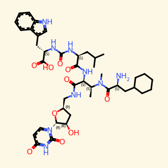 CC(C)C[C@H](NC(=O)N[C@@H](Cc1c[nH]c2ccccc12)C(=O)O)C(=O)N[C@H](C(=O)NC[C@H]1C[C@@H](O)[C@H](n2ccc(=O)[nH]c2=O)O1)[C@H](C)N(C)C(=O)[C@@H](N)CC1CCCCC1